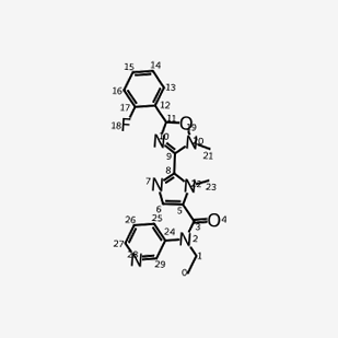 CCN(C(=O)c1cnc(C2=NC(c3ccccc3F)ON2C)n1C)c1cccnc1